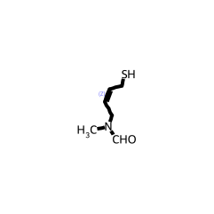 CN(C=O)C/C=C\CS